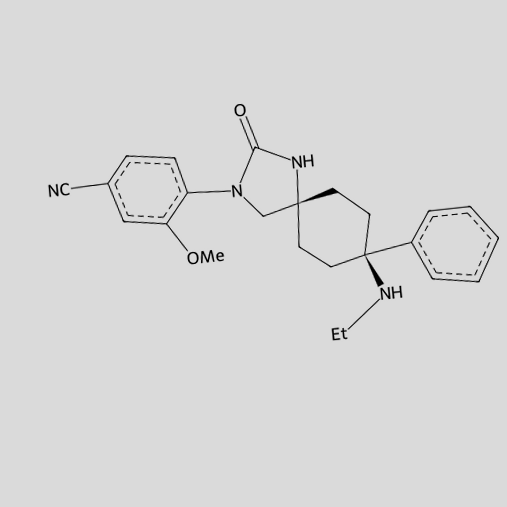 CCN[C@]1(c2ccccc2)CC[C@@]2(CC1)CN(c1ccc(C#N)cc1OC)C(=O)N2